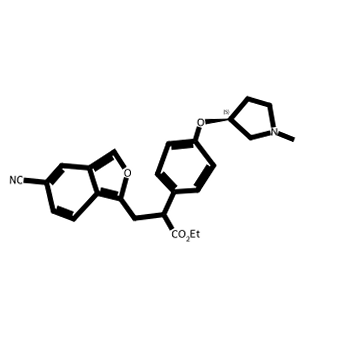 CCOC(=O)C(Cc1occ2cc(C#N)ccc12)c1ccc(O[C@H]2CCN(C)C2)cc1